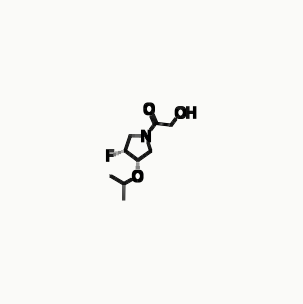 CC(C)O[C@H]1CN(C(=O)CO)C[C@H]1F